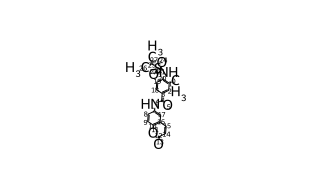 Cc1cc(C(=O)Nc2ccc3oc(=O)ccc3c2)ccc1NS(=O)(=O)C(C)C